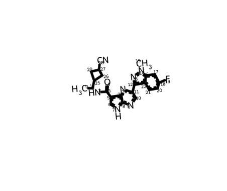 CC(NC(=O)c1c[nH]c2ncc(-c3nn(C)c4cc(F)ccc34)nc12)C1CC(C#N)C1